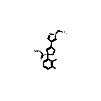 COC(=O)[C@]1(c2cccc(F)c2C)C=C(c2cnn(CC(F)(F)F)c2)CC1